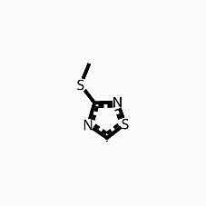 CSc1n[c]sn1